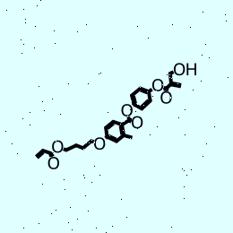 C=CC(=O)OCCCCOc1ccc(C(=O)Oc2ccc(OC(=O)C(=C)CO)cc2)c(C)c1